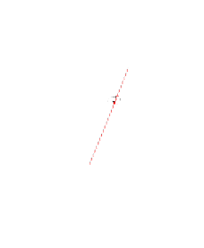 CCCCCCCCCCCCCCCCCCCCCCCCCCCCCCCC(=O)OCCCCCCCCCCCCCCCC